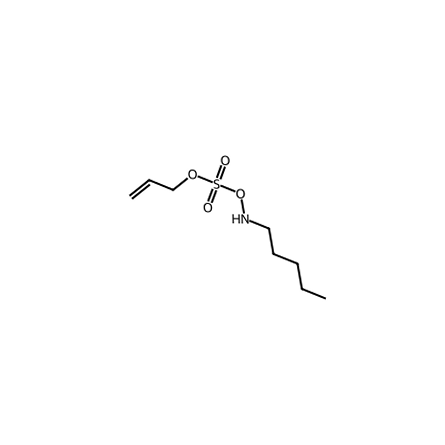 C=CCOS(=O)(=O)ONCCCCC